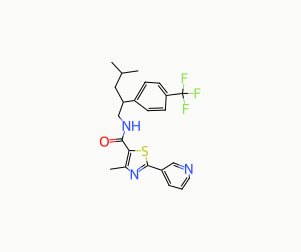 Cc1nc(-c2cccnc2)sc1C(=O)NCC(CC(C)C)c1ccc(C(F)(F)F)cc1